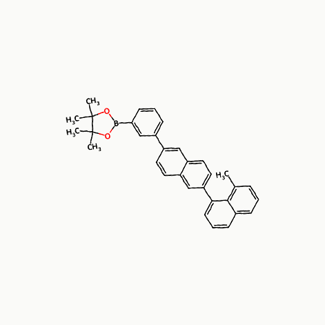 Cc1cccc2cccc(-c3ccc4cc(-c5cccc(B6OC(C)(C)C(C)(C)O6)c5)ccc4c3)c12